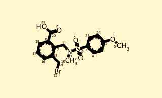 COc1ccc(S(=O)(=O)N(C)Cc2c(CBr)cccc2C(=O)O)cc1